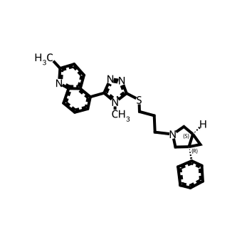 Cc1ccc2c(-c3nnc(SCCCN4C[C@H]5C[C@@]5(c5ccccc5)C4)n3C)cccc2n1